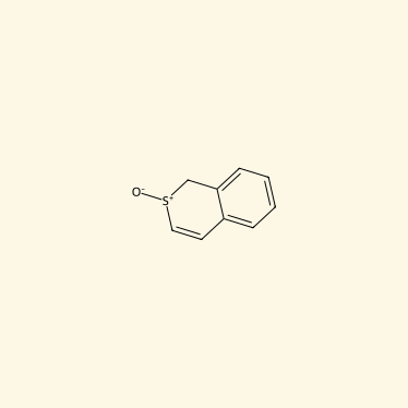 [O-][S+]1C=Cc2ccccc2C1